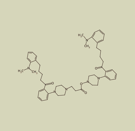 CN(C)c1ccccc1CCCCC(=O)c1ccccc1N1CCN(CCC(=O)ON2CCN(c3ccccc3C(=O)CCCCc3ccccc3N(C)C)CC2)CC1